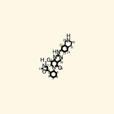 Cc1cn(-c2ccccc2-c2cnco2)c(=O)c2cnc(Nc3ccc4c(c3)CNCC4)nc12